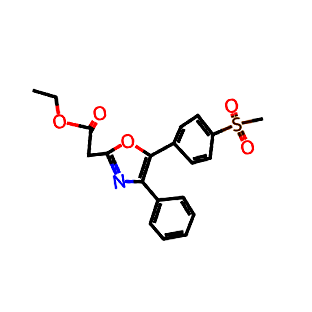 CCOC(=O)Cc1nc(-c2ccccc2)c(-c2ccc(S(C)(=O)=O)cc2)o1